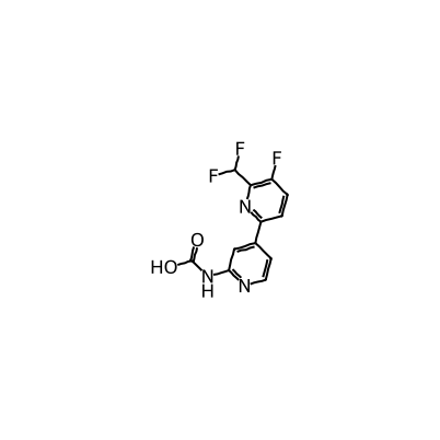 O=C(O)Nc1cc(-c2ccc(F)c(C(F)F)n2)ccn1